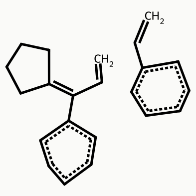 C=CC(=C1CCCC1)c1ccccc1.C=Cc1ccccc1